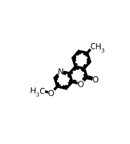 COc1cnc2c(c1)oc(=O)c1cc(C)ccc12